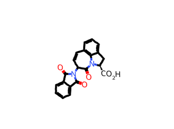 O=C(O)[C@@H]1Cc2cccc3c2N1C(=O)C(N1C(=O)c2ccccc2C1=O)C=C3